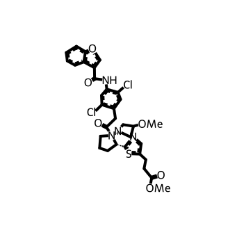 COC(=O)CCc1cnc([C@@H]2CCC[N+]2(C(=O)Cc2cc(Cl)c(NC(=O)c3coc4ccccc34)cc2Cl)N2CC(OC)C2)s1